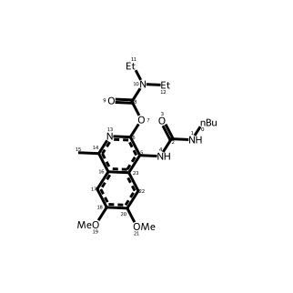 CCCCNC(=O)Nc1c(OC(=O)N(CC)CC)nc(C)c2cc(OC)c(OC)cc12